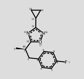 C[C@H](Cc1ccc(F)cc1)c1nc(C2CC2)no1